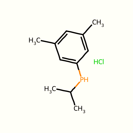 Cc1cc(C)cc(PC(C)C)c1.Cl